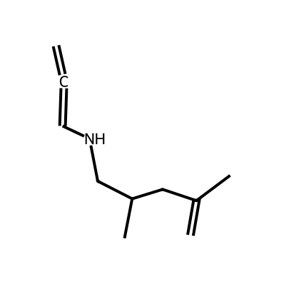 C=C=CNCC(C)CC(=C)C